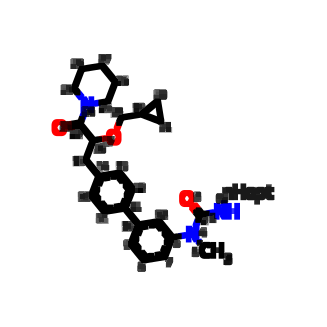 CCCCCCCNC(=O)N(C)c1cccc(-c2ccc(CC(OCC3CC3)C(=O)N3CCCCC3)cc2)c1